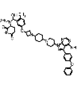 Cc1ccc(OC2CN(C3CCC(N4CCC(n5nc(-c6ccc(Oc7ccccc7)cc6)c6c(N)ncnc65)CC4)CC3)C2)cc1C(O)N(C=O)C1CCC(=O)NC1=O